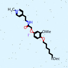 CCCCCCCCCCCCCCCCOc1ccc(OCC(=O)NCCc2cc[n+](C)cc2)cc1OC.[I-]